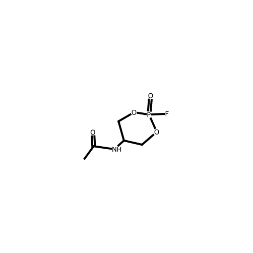 CC(=O)NC1COP(=O)(F)OC1